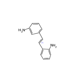 Nc1cccc(/C=C/c2ccccc2N)c1